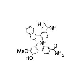 COc1cc(C2Nc3ccc(C(=N)N)cc3C3c4ccccc4CC23)c(-c2ccc(C(N)=O)cc2)cc1O